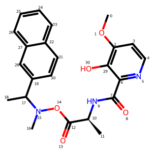 COc1ccnc(C(=O)N[C@@H](C)C(=O)ON(C)C(C)c2ccc3ccccc3c2)c1O